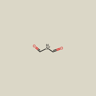 O=C[SiH2]C=O